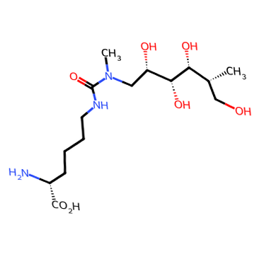 C[C@H](CO)[C@@H](O)[C@H](O)[C@@H](O)CN(C)C(=O)NCCCC[C@@H](N)C(=O)O